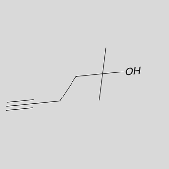 C#CCCC(C)(C)O